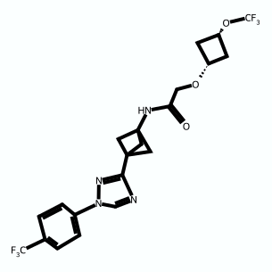 O=C(CO[C@H]1C[C@@H](OC(F)(F)F)C1)NC12CC(c3ncn(-c4ccc(C(F)(F)F)cc4)n3)(C1)C2